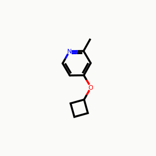 Cc1cc(OC2CCC2)ccn1